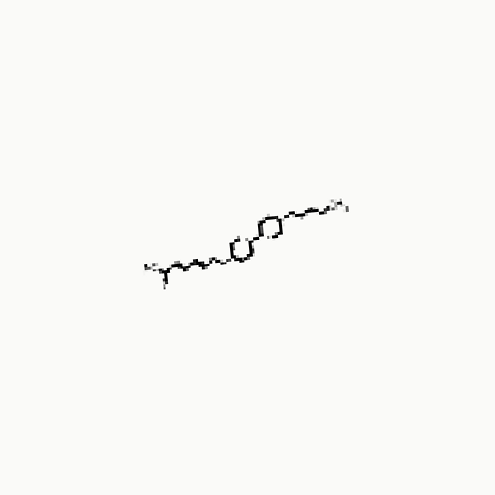 CCCCC[C@H]1CC[C@H]([C@H]2CC[C@H](CC/C=C/C=C/C(=O)O)CC2)CC1